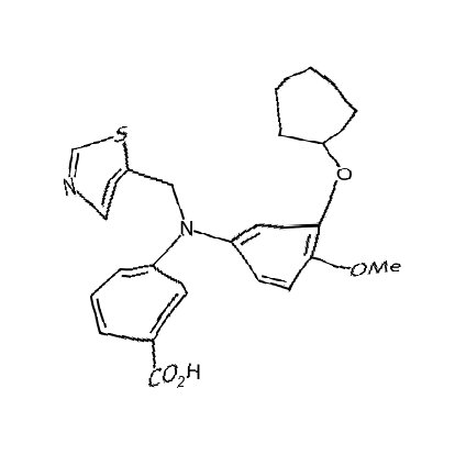 COc1ccc(N(Cc2cncs2)c2cccc(C(=O)O)c2)cc1OC1CCCC1